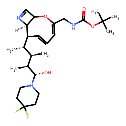 C[C@H]([C@H](C)[C@@H]1/C=C/C=C(/CNC(=O)OC(C)(C)C)OC2C=N[C@@H]21)[C@H](C)[C@H](O)N1CCC(F)(F)CC1